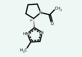 CC(=O)N1CCC[C@H]1c1ncc(C)[nH]1